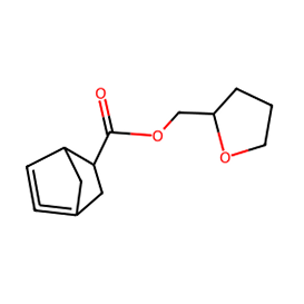 O=C(OCC1CCCO1)C1CC2=C=CC1C2